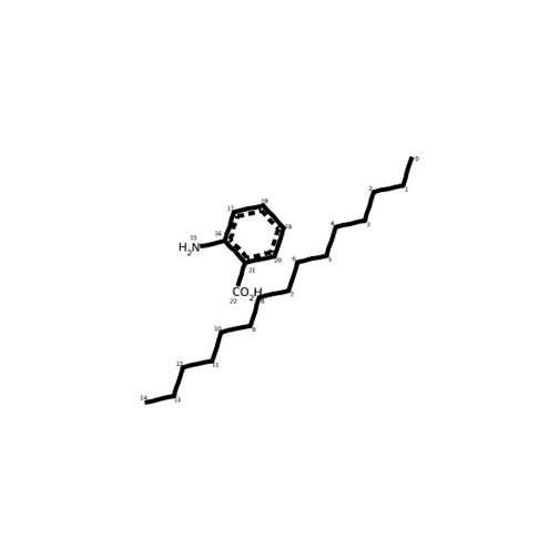 CCCCCCCCCCCCCCC.Nc1ccccc1C(=O)O